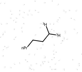 [3H][C]([3H])CCCCC